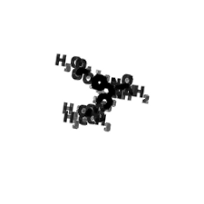 COC(=O)COc1ccc(-c2nc(C(N)=O)[nH]c2C2CCN(C(=O)OC(C)(C)C)CC2)cc1